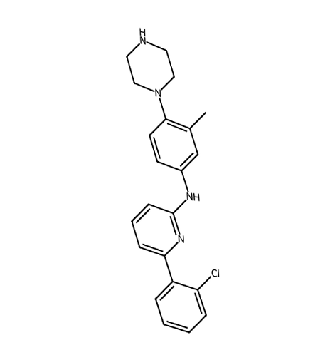 Cc1cc(Nc2cccc(-c3ccccc3Cl)n2)ccc1N1CCNCC1